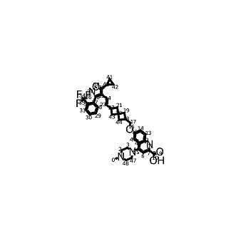 CN1CCN(c2cc(C(=O)O)nc3ccc(OCC4CC5(CC(C=Cc6c(-c7ccccc7C(F)(F)F)noc6C6CC6)C5)C4)cc23)CC1